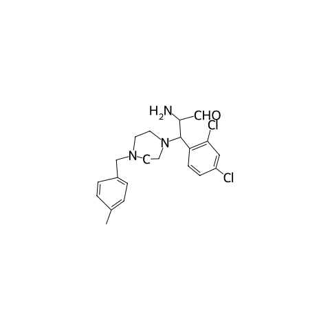 Cc1ccc(CN2CCN(C(c3ccc(Cl)cc3Cl)C(N)C=O)CC2)cc1